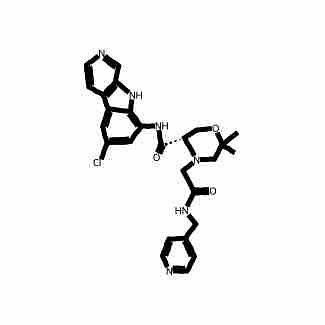 CC1(C)CN(CC(=O)NCc2ccncc2)[C@H](C(=O)Nc2cc(Cl)cc3c2[nH]c2cnccc23)CO1